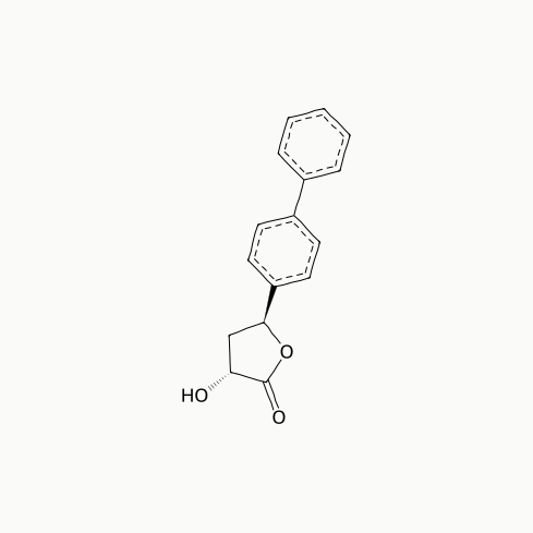 O=C1O[C@H](c2ccc(-c3ccccc3)cc2)C[C@H]1O